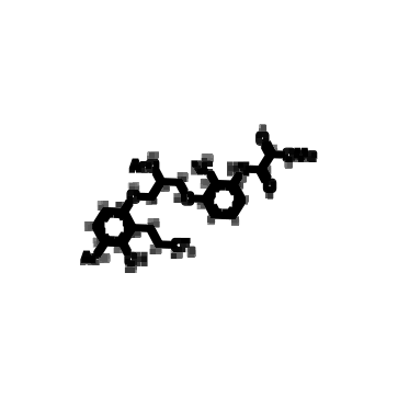 COC(=O)C(=O)Nc1cccc(OCC(COc2ccc(C(C)=O)c(O)c2CCC(F)(F)F)OC(C)=O)c1C#N